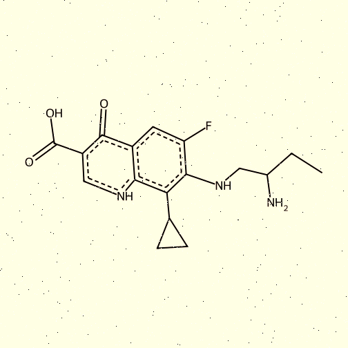 CCC(N)CNc1c(F)cc2c(=O)c(C(=O)O)c[nH]c2c1C1CC1